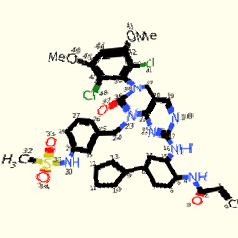 C=CC(=O)NC1CCC(C2CCCC2)CC1Nc1ncc2c(n1)N(Cc1cccc(NS(C)(=O)=O)c1)C(=O)N(c1c(Cl)c(OC)cc(OC)c1Cl)C2